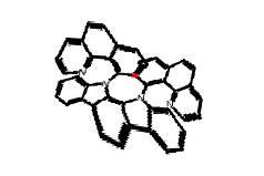 c1cnc2c(c1)ccc1cccc(-n3c4ccccc4c4ccc5c6ccccc6n(-c6cccc7ccc8cccnc8c67)c5c43)c12